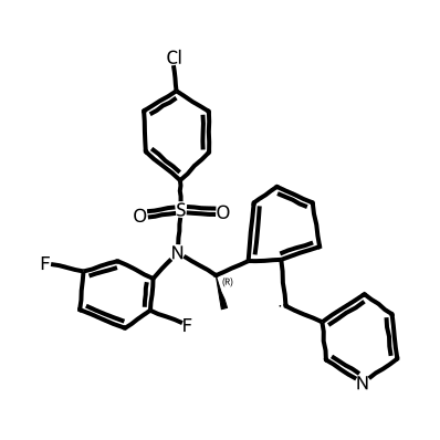 C[C@H](c1ccccc1[CH]c1cccnc1)N(c1cc(F)ccc1F)S(=O)(=O)c1ccc(Cl)cc1